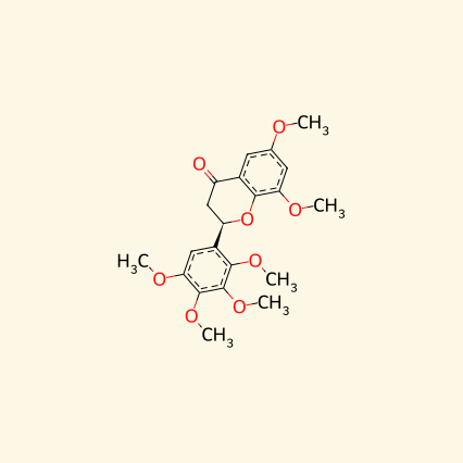 COc1cc(OC)c2c(c1)C(=O)C[C@H](c1cc(OC)c(OC)c(OC)c1OC)O2